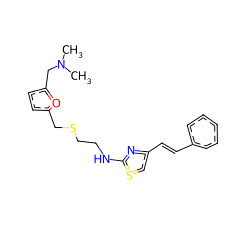 CN(C)Cc1ccc(CSCCNc2nc(C=Cc3ccccc3)cs2)o1